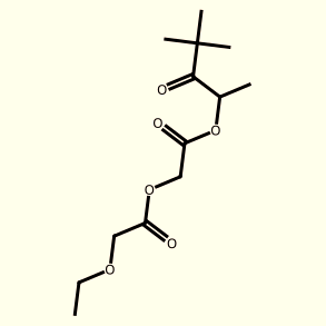 CCOCC(=O)OCC(=O)OC(C)C(=O)C(C)(C)C